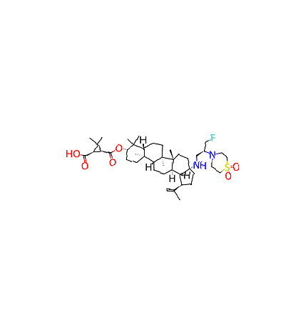 C=C(C)[C@@H]1CC[C@]2(NC[C@@H](CF)N3CCS(=O)(=O)CC3)CC[C@]3(C)[C@H](CC[C@@H]4[C@@]5(C)CC[C@H](OC(=O)[C@H]6[C@@H](C(=O)O)C6(C)C)C(C)(C)[C@@H]5CC[C@]43C)[C@@H]12